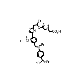 CCCC(CCC)c1ccc(N(Cc2ccc(-c3csc(CC(CC)OC(=O)CNCC(=O)O)n3)cc2)C(C)C)cc1.Cl.Cl